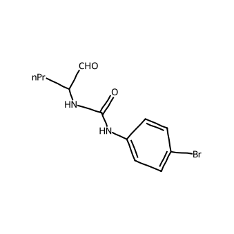 CCCC(C=O)NC(=O)Nc1ccc(Br)cc1